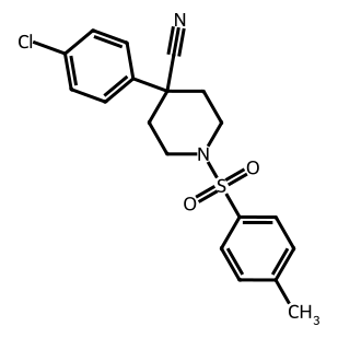 Cc1ccc(S(=O)(=O)N2CCC(C#N)(c3ccc(Cl)cc3)CC2)cc1